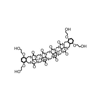 C[C@]12N3Cc4c(OCCO)ccc(OCCO)c4CN1C(=O)N1CN4C(=O)N5CN6C(=O)N7CN8C(=O)N9Cc%10c(OCCO)ccc(OCCO)c%10CN%10C(=O)N(CN%11C(=O)N(CN%12C(=O)N(CN(C3=O)[C@]12C)[C@@H]4[C@H]%125)[C@@H]6[C@H]%117)[C@]8(C)[C@@]9%10C